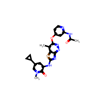 CC(=O)Nc1cc(Oc2nnc3nc(Nc4cc(C5CC5)cn(C)c4=O)sc3c2C)ccn1